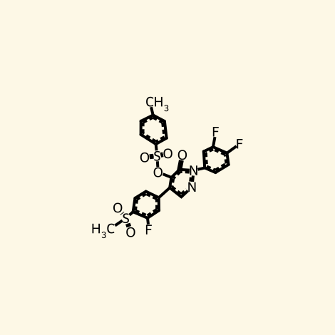 Cc1ccc(S(=O)(=O)Oc2c(-c3ccc(S(C)(=O)=O)c(F)c3)cnn(-c3ccc(F)c(F)c3)c2=O)cc1